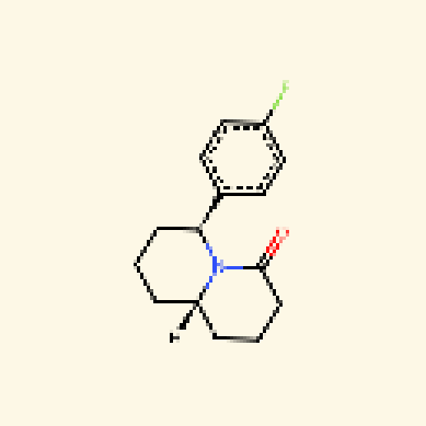 O=C1CCC[C@@H]2CCC[C@@H](c3ccc(F)cc3)N12